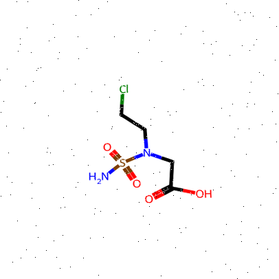 NS(=O)(=O)N(CCCl)CC(=O)O